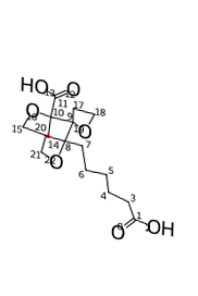 O=C(O)CCCCCC1(C2(C3(C(=O)O)CCO3)CCO2)CCO1